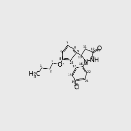 CCCCOc1cccc(C2CC(=O)NN2c2ccc(Cl)cc2)c1